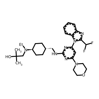 CCN(CC(C)(C)O)[C@H]1CC[C@H](CNc2nc(N3CCOCC3)cc(-n3c(C(F)F)nc4ccccc43)n2)CC1